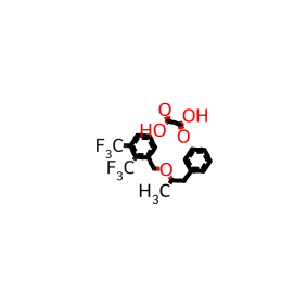 CC(Cc1ccccc1)OCc1cccc(C(F)(F)F)c1C(F)(F)F.O=C(O)C(=O)O